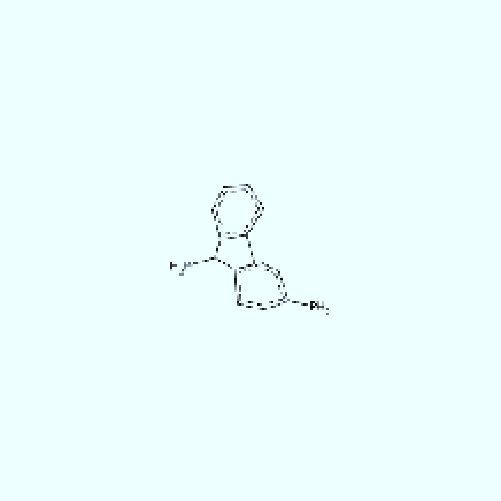 Pc1ccc2c(c1)-c1ccccc1C2P